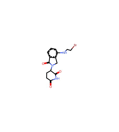 O=C1CCC(N2Cc3c(NCCBr)cccc3C2=O)C(=O)N1